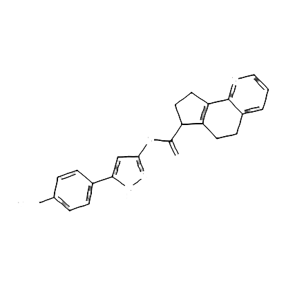 COc1ccc(-c2cc(NC(=O)C3CCC4=C3CCc3cccnc34)n[nH]2)cc1